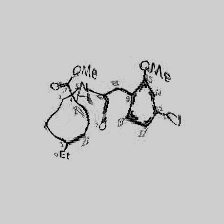 CCC1CCC(NC(=O)Cc2ccc(Cl)cc2OC)(C(=O)OC)CC1